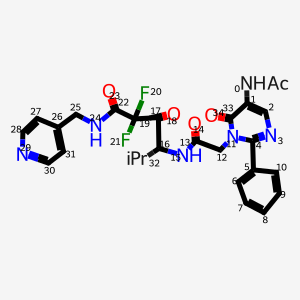 CC(=O)Nc1cnc(-c2ccccc2)n(CC(=O)NC(C(=O)C(F)(F)C(=O)NCc2ccncc2)C(C)C)c1=O